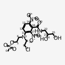 CS(=O)(=O)OCCN(CCCl)c1ccc([N+](=O)[O-])c(C(=O)NCC(O)CO)c1[N+](=O)[O-]